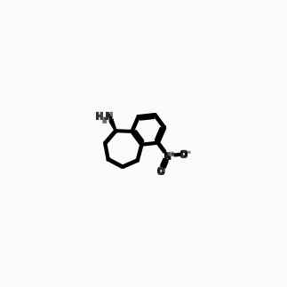 N[C@@H]1CCCCc2c1cccc2[N+](=O)[O-]